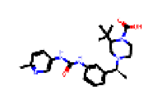 Cc1ccc(NC(=O)Nc2cccc([C@H](C)N3CCN(C(=O)O)C(C(C)(C)C)C3)c2)cn1